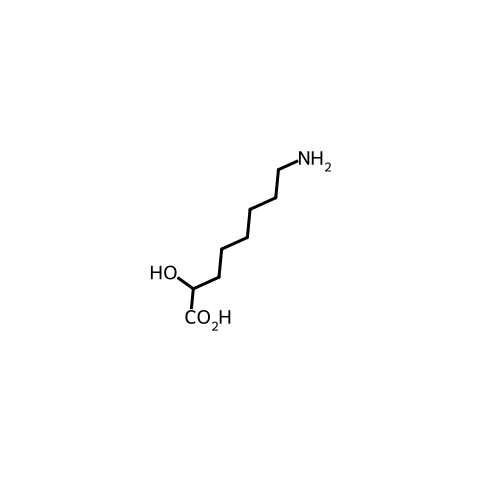 NCCCCCCC(O)C(=O)O